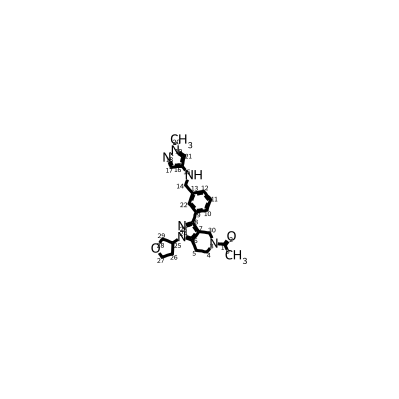 CC(=O)N1CCc2c(c(-c3cccc(CNc4cnn(C)c4)c3)nn2C2CCOC2)C1